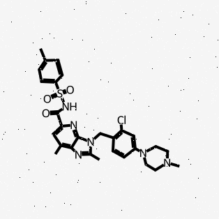 Cc1ccc(S(=O)(=O)NC(=O)c2cc(C)c3nc(C)n(Cc4ccc(N5CCN(C)CC5)cc4Cl)c3n2)cc1